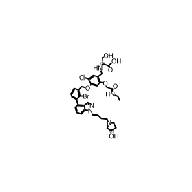 CCNC(=O)COc1cc(OCc2cccc(-c3cccc4c3cnn4CCCCN3CC[C@@H](O)C3)c2Br)c(Cl)cc1CN[C@@H](CO)C(=O)O